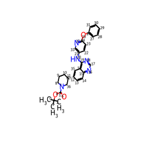 CC(C)(C)OC(=O)N1CCC[C@H](c2ccc3ncnc(Nc4ccc(Oc5ccccc5)nc4)c3c2)C1